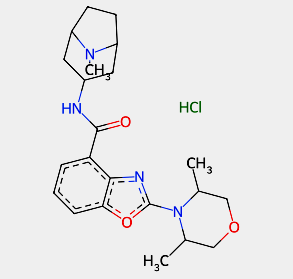 CC1COCC(C)N1c1nc2c(C(=O)NC3CC4CCC(C3)N4C)cccc2o1.Cl